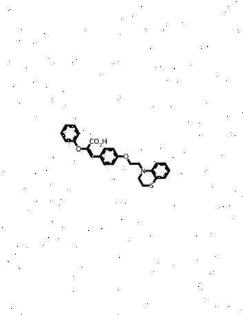 O=C(O)/C(=C\c1ccc(OCCN2CCSc3ccccc32)cc1)Oc1ccccc1